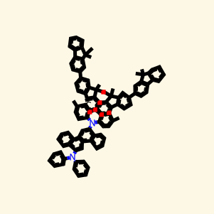 Cc1ccc(N(c2ccc(C)cc2-c2ccc3c(c2)C(C)(C)c2cc(-c4ccc5c(c4)C(C)(C)c4ccccc4-5)ccc2-3)c2cc3c4ccccc4c(N(c4ccccc4)c4ccccc4)cc3c3ccccc23)c(-c2ccc3c(c2)C(C)(C)c2cc(-c4ccc5c(c4)C(C)(C)c4ccccc4-5)ccc2-3)c1